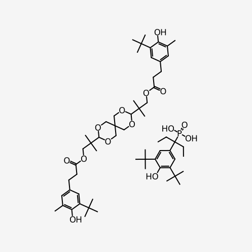 CCC(CC)(c1cc(C(C)(C)C)c(O)c(C(C)(C)C)c1)P(=O)(O)O.Cc1cc(CCC(=O)OCC(C)(C)C2OCC3(CO2)COC(C(C)(C)COC(=O)CCc2cc(C)c(O)c(C(C)(C)C)c2)OC3)cc(C(C)(C)C)c1O